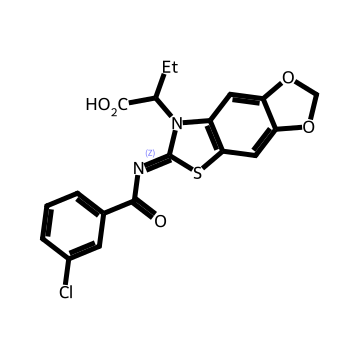 CCC(C(=O)O)n1/c(=N/C(=O)c2cccc(Cl)c2)sc2cc3c(cc21)OCO3